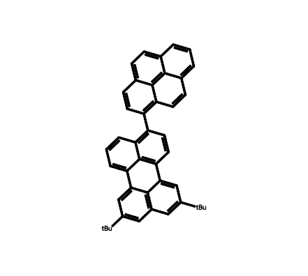 CC(C)(C)c1cc2cc(C(C)(C)C)cc3c4ccc(-c5ccc6ccc7cccc8ccc5c6c78)c5cccc(c(c1)c23)c54